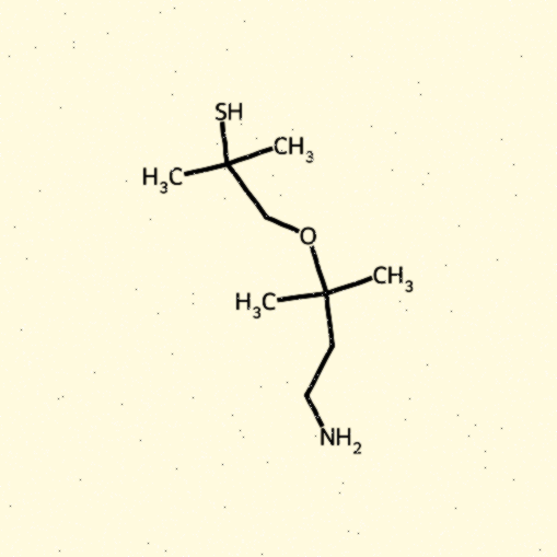 CC(C)(S)COC(C)(C)CCN